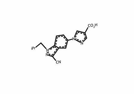 CC(C)Cn1nc(C#N)c2cc(-n3cc(C(=O)O)cn3)ccc21